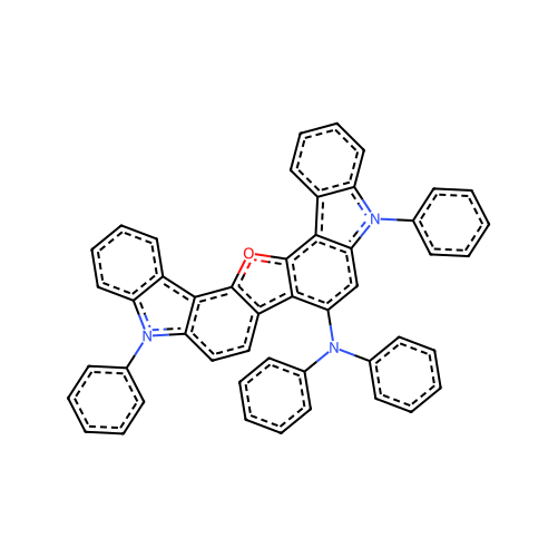 c1ccc(N(c2ccccc2)c2cc3c(c4ccccc4n3-c3ccccc3)c3oc4c(ccc5c4c4ccccc4n5-c4ccccc4)c23)cc1